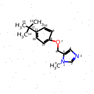 Cn1cncc1COc1ccc(C(C)(C)C)cc1